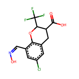 O=C(O)C1Cc2cc(Cl)cc(/C=N\O)c2OC1C(F)(F)F